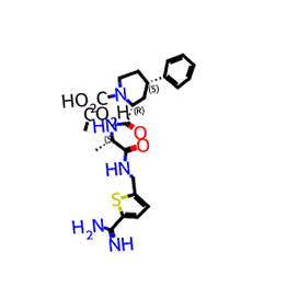 CC(=O)O.C[C@H](NC(=O)[C@H]1C[C@@H](c2ccccc2)CCN1C(=O)O)C(=O)NCc1ccc(C(=N)N)s1